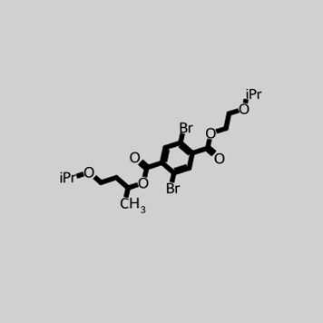 CC(C)OCCOC(=O)c1cc(Br)c(C(=O)OC(C)CCOC(C)C)cc1Br